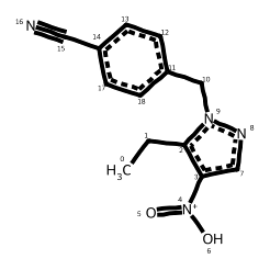 CCc1c([N+](=O)O)cnn1Cc1ccc(C#N)cc1